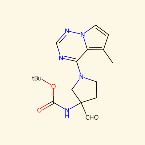 Cc1ccn2ncnc(N3CCC(C=O)(NC(=O)OC(C)(C)C)C3)c12